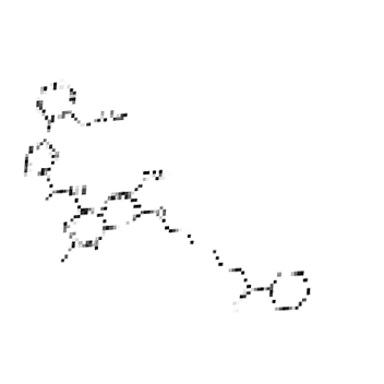 CNCc1ccccc1-c1csc(C(C)Nc2nc(C)nc3cc(OCCCCCCC(=O)N4CCCCC4)c(OC)cc23)c1